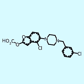 O=C(O)Oc1cc2c(Cl)c(N3CCN(Cc4cccc(Cl)c4)CC3)ccc2o1